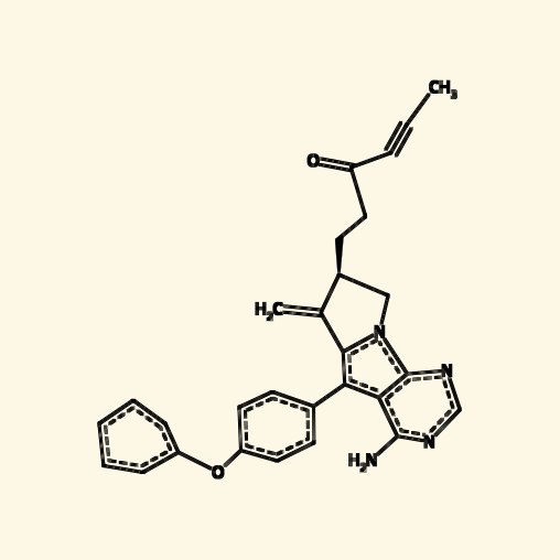 C=C1c2c(-c3ccc(Oc4ccccc4)cc3)c3c(N)ncnc3n2C[C@@H]1CCC(=O)C#CC